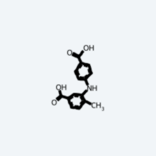 Cc1ccc(C(=O)O)cc1Nc1ccc(C(=O)O)cc1